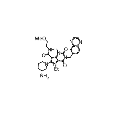 CCn1c(N2CCC[C@@H](N)C2)c(C(=O)NCCOC)c2c1c(=O)n(Cc1ccc3nccnc3c1)c(=O)n2C